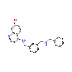 Oc1ccc2c(NCc3cccc(CNCc4ccccc4)c3)ccnc2c1